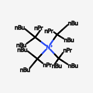 CCCCC(CCC)(CCCC)[N+](C(CCC)(CCCC)CCCC)(C(CCC)(CCCC)CCCC)C(CCC)(CCCC)CCCC